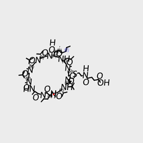 C/C=C/C[C@@H](C)[C@@H](O)[C@@H]1C(=O)N[C@@H](CCC)C(=O)N(C)[C@H](CSCCNC(=O)CCC(=O)O)C(=O)N(C)[C@](C=O)(CC(C)C)N[C@H](C(C)C)C(=O)N(C)[C@H]2CC(C)N(C(=O)C(C)NC(=O)N(C)[C@H](CC(C)C)C(=O)N(C)[C@H](CC(C)C)C(=O)N(C)[C@H](C(C)C)C(=O)N1C)C2=O